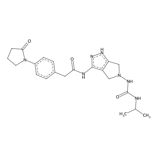 CC(C)NC(=O)NN1Cc2[nH]nc(NC(=O)Cc3ccc(N4CCCC4=O)cc3)c2C1